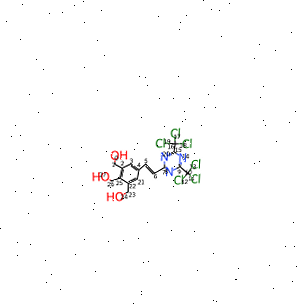 OCc1cc(C=Cc2nc(C(Cl)(Cl)Cl)nc(C(Cl)(Cl)Cl)n2)cc(CO)c1CO